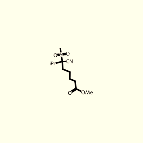 COC(=O)CCCCC(C#N)(C(C)C)S(C)(=O)=O